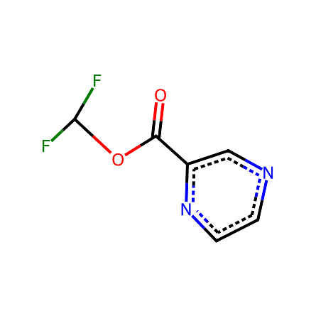 O=C(OC(F)F)c1cnccn1